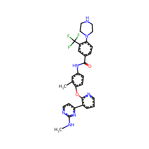 CNc1nccc(-c2cccnc2Oc2ccc(NC(=O)c3ccc(N4CCNCC4)c(C(F)(F)F)c3)cc2C)n1